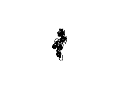 Cc1nnc([C@H]2CCCN2C(=O)Nc2cccc(-c3ccn(C)n3)c2)n1Cc1ccc(Cl)cc1